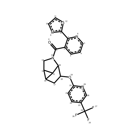 O=C(c1cccnc1-c1nccs1)N1CC2C3CC(Oc4ccc(C(F)(F)F)cn4)C1C32